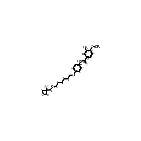 CCC1(COCCCCCCOc2ccc(NC(=O)c3ccc(OC(F)(F)F)c(F)c3)cc2)COC1